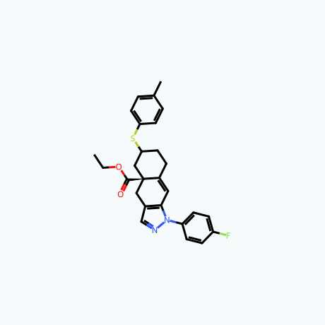 CCOC(=O)[C@]12Cc3cnn(-c4ccc(F)cc4)c3C=C1CCC(Sc1ccc(C)cc1)C2